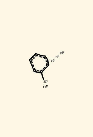 F.F.F.F.[Sb][c]1ccccc1